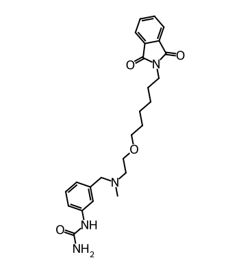 CN(CCOCCCCCCN1C(=O)c2ccccc2C1=O)Cc1cccc(NC(N)=O)c1